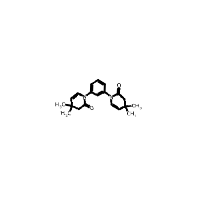 CC1(C)C=CN(c2cccc(N3C=CC(C)(C)CC3=O)c2)C(=O)C1